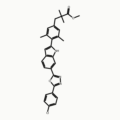 COC(=O)C(C)(C)Cc1cc(C)c(-c2cc3ccc(-c4nnc(-c5ccc(Cl)cc5)o4)cc3[nH]2)c(C)c1